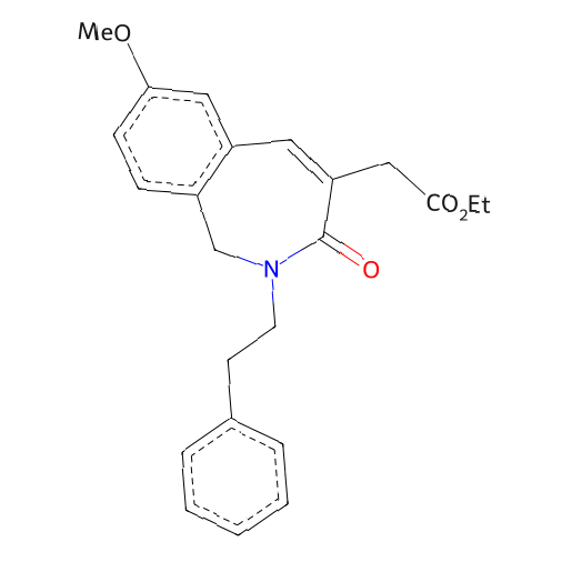 CCOC(=O)CC1=Cc2cc(OC)ccc2CN(CCc2ccccc2)C1=O